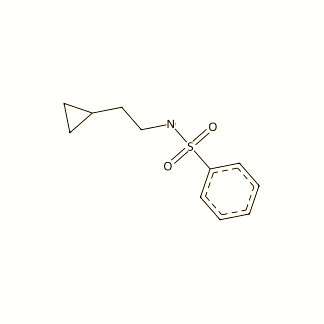 O=S(=O)([N]CCC1CC1)c1ccccc1